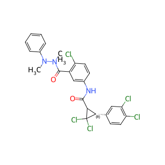 CN(C(=O)c1cc(NC(=O)C2[C@H](c3ccc(Cl)c(Cl)c3)C2(Cl)Cl)ccc1Cl)N(C)c1ccccc1